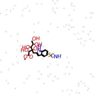 COC(=O)C(O)C(O)(Cc1cc2ccccc2[nH]1)C(O)C(O)CO.N=C=S